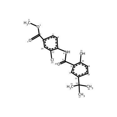 COC(=O)c1ccc(NC(=O)c2cc(C(C)(C)C)ccc2O)c(Cl)c1